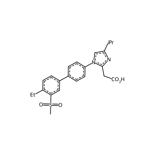 CCc1ccc(-c2ccc(-n3cc(C(C)C)nc3CC(=O)O)cc2)cc1S(C)(=O)=O